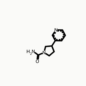 NC(=O)N1CCC(c2cccnc2)C1